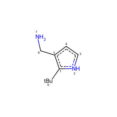 CC(C)(C)c1[nH]ccc1CN